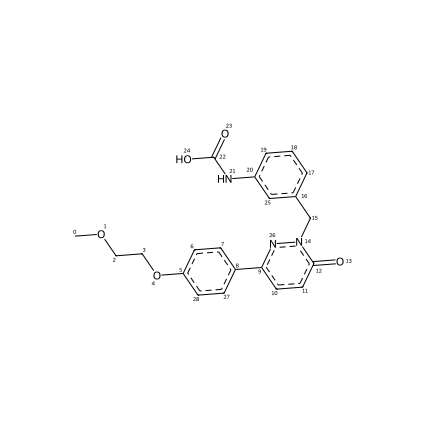 COCCOc1ccc(-c2ccc(=O)n(Cc3cccc(NC(=O)O)c3)n2)cc1